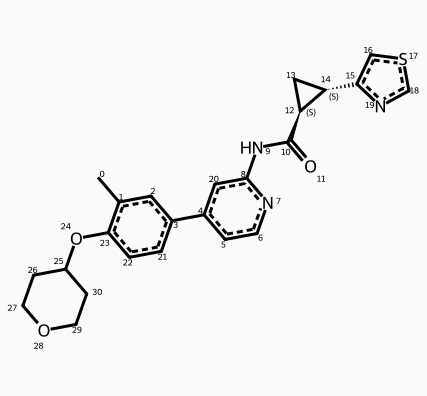 Cc1cc(-c2ccnc(NC(=O)[C@H]3C[C@@H]3c3cscn3)c2)ccc1OC1CCOCC1